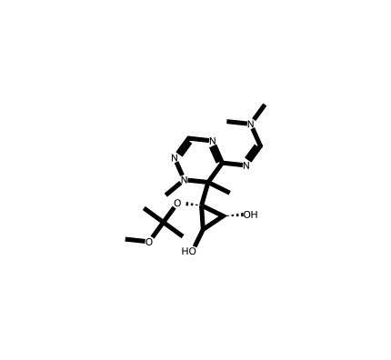 COC(C)(C)O[C@@]1(C2(C)C(/N=C\N(C)C)=NC=NN2C)C(O)[C@H]1O